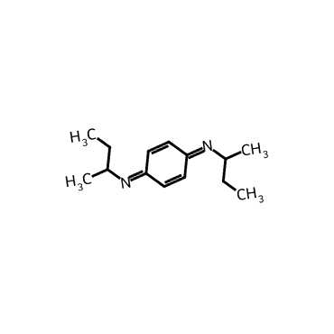 CCC(C)N=C1C=CC(=NC(C)CC)C=C1